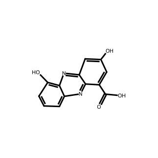 O=C(O)c1cc(O)cc2nc3c(O)cccc3nc12